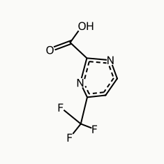 O=C(O)c1nccc(C(F)(F)F)n1